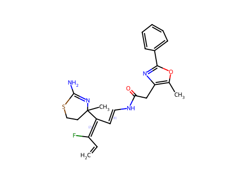 C=C/C(F)=C(\C=C\NC(=O)Cc1nc(-c2ccccc2)oc1C)C1(C)CCSC(N)=N1